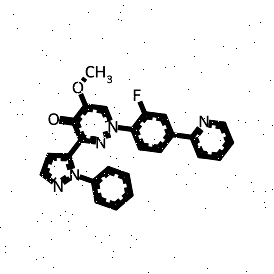 COc1cn(-c2ccc(-c3ccccn3)cc2F)nc(-c2ccnn2-c2ccccc2)c1=O